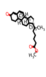 COC(=O)CCCC[C@@H](C)[C@H]1CC[C@H]2[C@@H]3C=CC4=CC(=O)CC[C@]4(C)[C@H]3CC[C@]12C